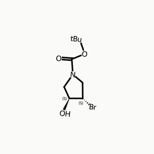 CC(C)(C)OC(=O)N1C[C@H](O)[C@@H](Br)C1